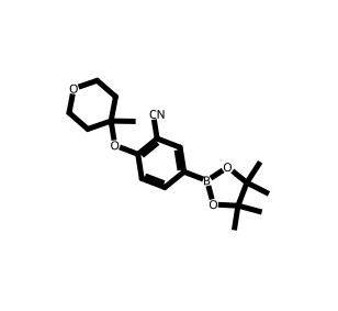 CC1(Oc2ccc(B3OC(C)(C)C(C)(C)O3)cc2C#N)CCOCC1